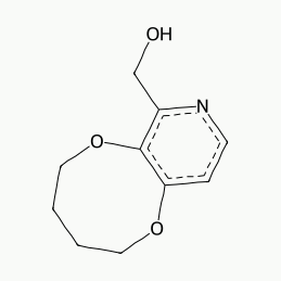 OCc1nccc2c1OCCCCO2